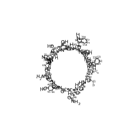 CCCC[C@H]1C(=O)N(C)[C@@H](CCCC)C(=O)N[C@@H](C)C(=O)N[C@H](C(=O)NCC(N)=O)CSCC(=O)N[C@@H](Cc2ccc(O)cc2)C(=O)N(C)[C@@H](C)C(=O)NC(CC(N)=O)C(=O)N2CCC[C@H]2C(=O)N[C@@H](Cc2cnc[nH]2)C(=O)N[C@@H](CC(=O)O)C(=O)N2C[C@H](O)C[C@H]2CN[C@@H](CCc2c[nH]c3ccccc23)C(=O)N[C@@H](CO)C(=O)N[C@@H](Cc2c[nH]c3ccccc23)C(=O)N1C